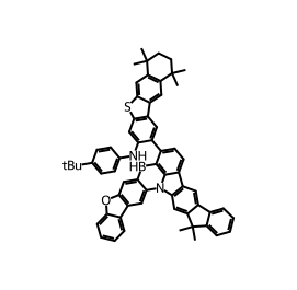 CC(C)(C)c1ccc(Nc2cc3sc4cc5c(cc4c3cc2-c2ccc3c4cc6c(cc4n4c3c2Bc2cc3oc7ccccc7c3cc2-4)C(C)(C)c2ccccc2-6)C(C)(C)CCC5(C)C)cc1